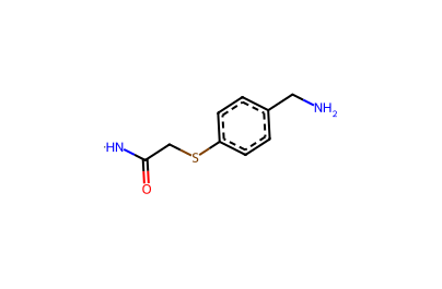 [NH]C(=O)CSc1ccc(CN)cc1